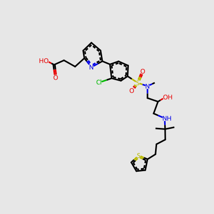 CN(CC(O)CNC(C)(C)CCCc1cccs1)S(=O)(=O)c1ccc(-c2cccc(CCC(=O)O)n2)c(Cl)c1